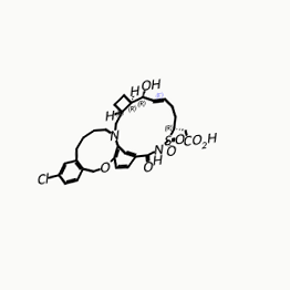 O=C(O)C[C@H]1CC/C=C/[C@H](O)[C@@H]2CC[C@H]2CN2CCCCc3cc(Cl)ccc3COc3ccc(cc32)C(=O)NS1(=O)=O